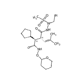 CC(C)=C[C@@H](C(=O)NN(CC(C)C)S(C)(=O)=O)[C@@H](C(=O)NOC1CCCCO1)C1CCCC1